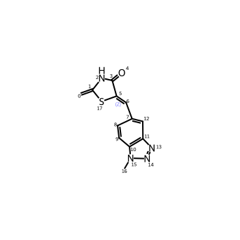 C=c1[nH]c(=O)/c(=C/c2ccc3c(c2)nnn3C)s1